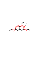 CCOC(=O)CC(CC(OCC)OCC)C(=O)OCC